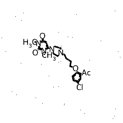 CC(=O)c1cc(Cl)ccc1OCCCCN1CCN(c2cc(=O)n(C)c(=O)n2C)CC1